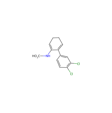 O=C(O)NC1=CCCC=C1c1ccc(Cl)c(Cl)c1